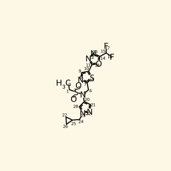 CCS(=O)(=O)N(Cc1ncc(-c2nnc(C(F)F)o2)s1)c1cnn(CC2CC2)c1